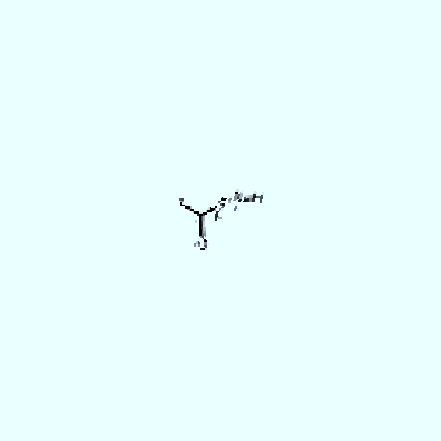 CC(=O)S.[NaH]